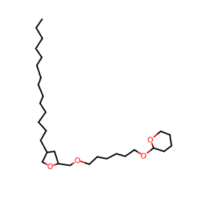 CCCCCCCCCCCCCCC1COC(COCCCCCCOC2CCCCO2)C1